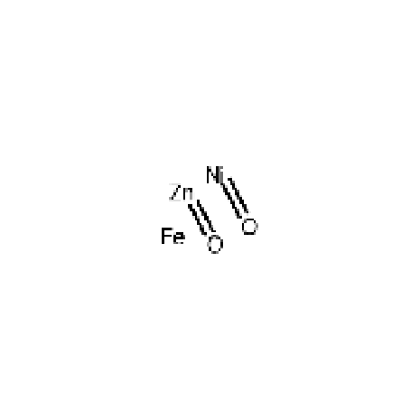 [Fe].[O]=[Ni].[O]=[Zn]